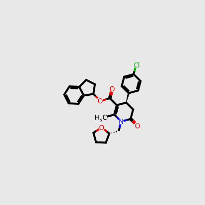 CC1=C(C(=O)OC2CCc3ccccc32)[C@@H](c2ccc(Cl)cc2)CC(=O)N1C[C@@H]1CCCO1